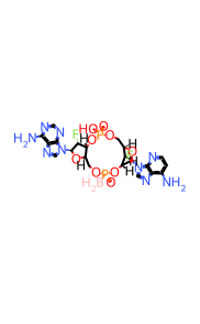 BP1(=O)OC[C@H]2O[C@@H](n3cnc4c(N)ncnc43)[C@H](F)[C@@H]2OP(=O)(O)OC[C@H]2O[C@@H](n3cnc4c(N)ccnc43)[C@H](O1)[C@H]2F